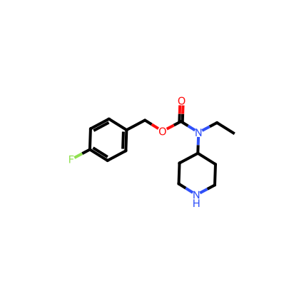 CCN(C(=O)OCc1ccc(F)cc1)C1CCNCC1